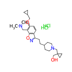 CN(C)Cc1c(OCC2CC2)ccc2c(CCC3CCN(CC4(CO)CC4)CC3)noc12.Cl.Cl